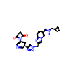 O=C1CCC(=O)N1c1cncc(-c2cn(Cc3cn4cc(CNCC5CCC5)ccc4n3)nn2)c1